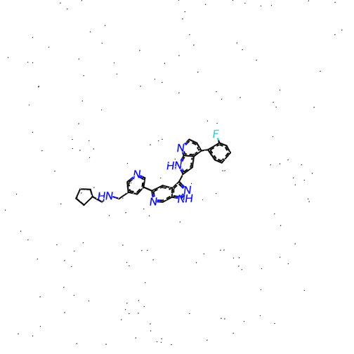 Fc1ccccc1-c1ccnc2[nH]c(-c3n[nH]c4cnc(-c5cncc(CNCC6CCCC6)c5)cc34)cc12